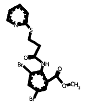 COC(=O)c1cc(Br)cc(Br)c1NC(=O)CCSc1ccccn1